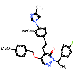 COc1ccc(COc2cnn(C(C)c3ccc(F)cc3)c(=O)c2/C=C/c2ccc(-n3cnc(C)c3)c(OC)c2)cc1